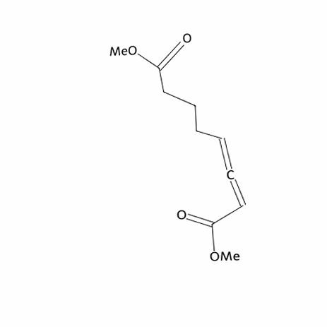 COC(=O)C=C=CCCCC(=O)OC